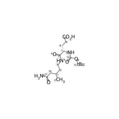 CC(CCNC(=O)[C@H](CCC(=O)O)NC(=O)OC(C)(C)C)CC(N)=O